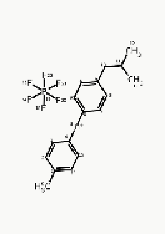 Cc1cc[c]([In+][c]2ccc(CC(C)C)cc2)cc1.F[P-](F)(F)(F)(F)F